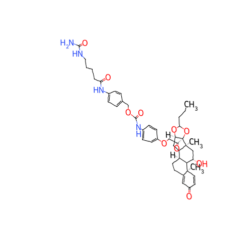 CCCC1O[C@@H]2CC3[C@@H]4CCC5=CC(=O)C=C[C@]5(C)C4[C@@H](O)C[C@]3(C)[C@]2(C(=O)COc2ccc(NC(=O)OCc3ccc(NC(=O)CCCCNC(N)=O)cc3)cc2)O1